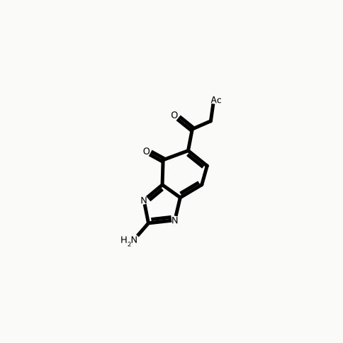 CC(=O)CC(=O)C1=CC=C2N=C(N)N=C2C1=O